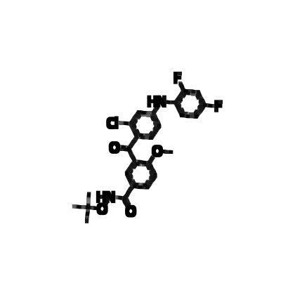 COc1ccc(C(=O)NOC(C)(C)C)cc1C(=O)c1ccc(Nc2ccc(F)cc2F)cc1Cl